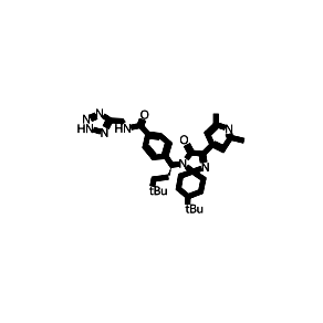 Cc1cc(C2=NC3(CCC(C(C)(C)C)CC3)N([C@H](CCC(C)(C)C)c3ccc(C(=O)NCc4nn[nH]n4)cc3)C2=O)cc(C)n1